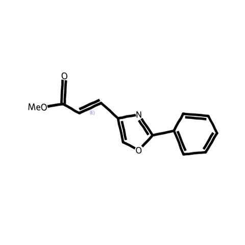 COC(=O)/C=C/c1coc(-c2ccccc2)n1